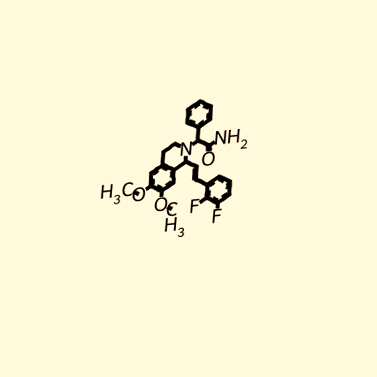 COc1cc2c(cc1OC)C(/C=C/c1cccc(F)c1F)N(C(C(N)=O)c1ccccc1)CC2